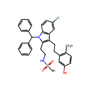 CC(C)S(=O)(=O)NCCc1c(CCc2cc(O)ccc2C(=O)O)c2cc(Cl)ccc2n1C(c1ccccc1)c1ccccc1